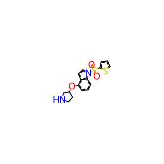 O=S(=O)(c1cccs1)n1ccc2c(OC3CCNC3)cccc21